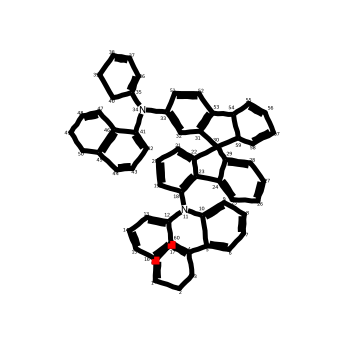 C1=CCCC(c2ccccc2N(c2ccccc2)c2cccc3c2-c2ccccc2C32c3cc(N(C4=CC=CCC4)c4cccc5c4C=CCC5)ccc3C3C=CC=CC32)=C1